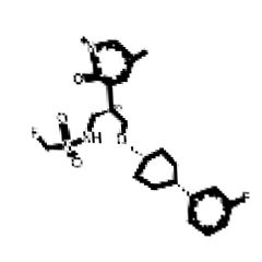 Cc1cc([C@H](CNS(=O)(=O)CF)CO[C@H]2CC[C@@H](c3cccc(F)c3)CC2)c(=O)n(C)c1